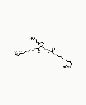 CCCCCCCC/C=C\CCCCCCCC(=O)OCCN1CCN(CCO)C1C(=O)CCCCCCC/C=C\CCCCCCCC